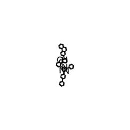 c1ccc(-c2ccc(C3=NC(c4ccccc4)NC(c4cccc5oc6c(-c7ccc8c(ccc9ccccc98)c7)cccc6c45)=N3)cc2)cc1